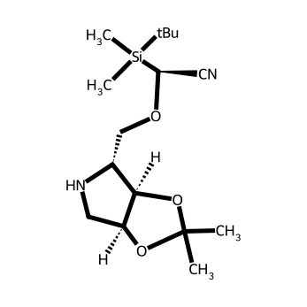 CC1(C)O[C@H]2[C@H](CN[C@@H]2CO[C@H](C#N)[Si](C)(C)C(C)(C)C)O1